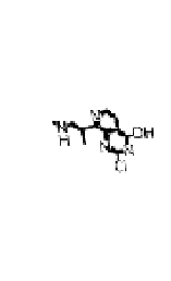 CN/C=C(\C)c1nccc2c(O)nc(Cl)nc12